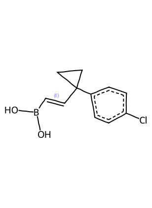 OB(O)/C=C/C1(c2ccc(Cl)cc2)CC1